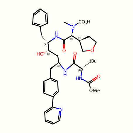 COC(=O)N[C@H](C(=O)N[C@@H](Cc1ccc(-c2ccccn2)cc1)C[C@H](O)[C@H](Cc1ccccc1)NC(=O)[C@H]([C@H]1CCOC1)N(C)C(=O)O)C(C)(C)C